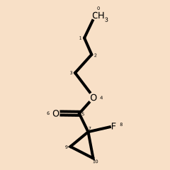 CCCCOC(=O)C1(F)CC1